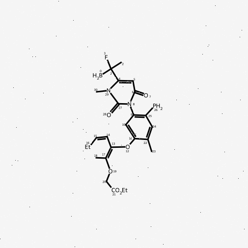 BC(C)(F)c1cc(=O)n(-c2cc(OC(/C=C\CC)=C(/C)OCC(=O)OCC)c(C)cc2P)c(=O)n1C